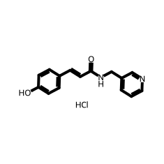 Cl.O=C(/C=C/c1ccc(O)cc1)NCc1cccnc1